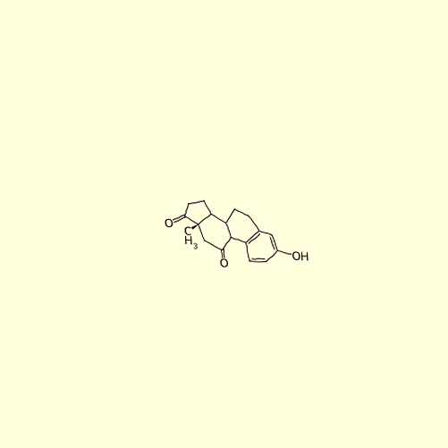 C[C@]12CC(=O)C3c4ccc(O)cc4CCC3C1CCC2=O